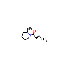 CC=CC(=O)N1CCCCC1CCC